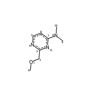 COCc1nccc(N(C)C)n1